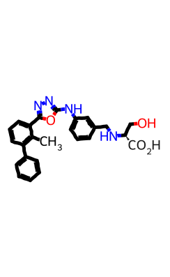 Cc1c(-c2ccccc2)cccc1-c1nnc(Nc2cccc(CN[C@H](CO)C(=O)O)c2)o1